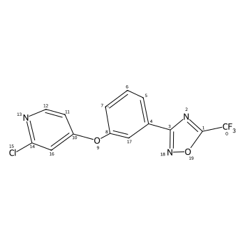 FC(F)(F)c1nc(-c2cc[c]c(Oc3ccnc(Cl)c3)c2)no1